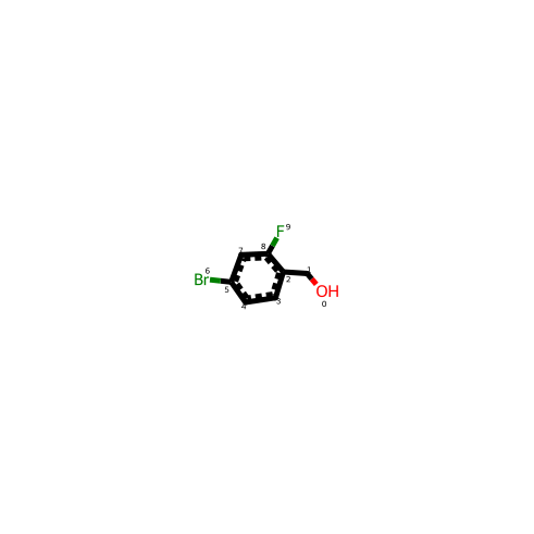 OCc1ccc(Br)cc1F